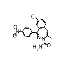 CC1=Cc2ccc(Cl)cc2C(c2ccc([N+](=O)[O-])cc2)=NN1C(N)=O